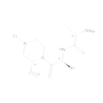 CCN1CCN(C(=O)[C@@H](NC(=O)[C@H](C)NC)C(C)C)[C@H](C(=O)O)C1